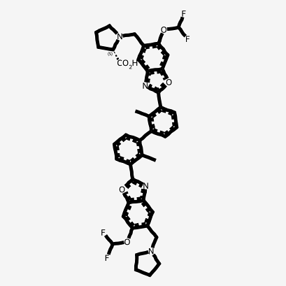 Cc1c(-c2nc3cc(CN4CCCC4)c(OC(F)F)cc3o2)cccc1-c1cccc(-c2nc3cc(CN4CCC[C@H]4C(=O)O)c(OC(F)F)cc3o2)c1C